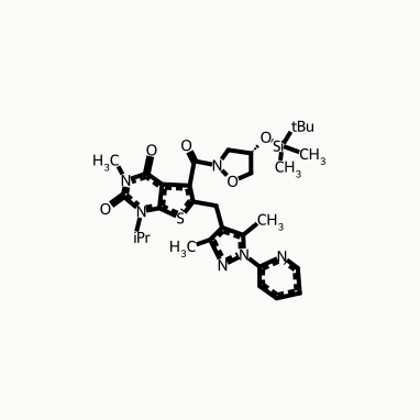 Cc1nn(-c2ccccn2)c(C)c1Cc1sc2c(c1C(=O)N1C[C@H](O[Si](C)(C)C(C)(C)C)CO1)c(=O)n(C)c(=O)n2C(C)C